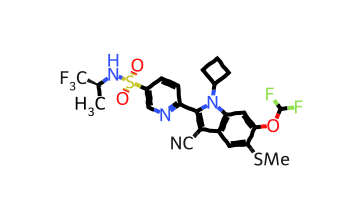 CSc1cc2c(C#N)c(-c3ccc(S(=O)(=O)N[C@@H](C)C(F)(F)F)cn3)n(C3CCC3)c2cc1OC(F)F